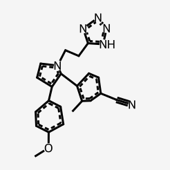 COc1ccc(-c2ccn(CCc3nnn[nH]3)c2-c2ccc(C#N)cc2C)cc1